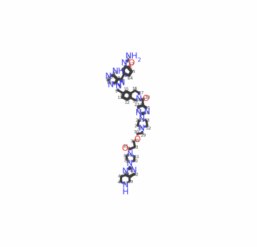 Nc1nc2cc(-c3nn(Cc4ccc5c(c4)CCN(C(=O)c4cnc(N6CCN(CCOCCC(=O)N7CCN(c8ncc9c(n8)CCNC9)CC7)CC6)nc4)C5)c4ncnc(N)c34)ccc2o1